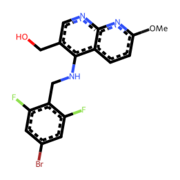 COc1ccc2c(NCc3c(F)cc(Br)cc3F)c(CO)cnc2n1